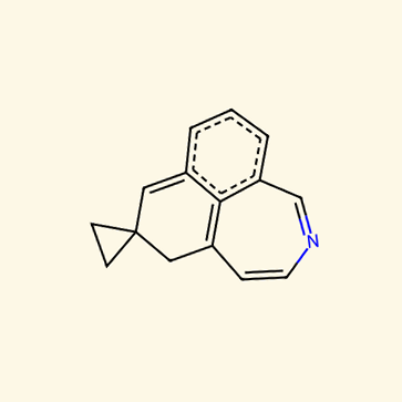 C1=CC2=c3c(cccc3=CC3(CC3)C2)C=N1